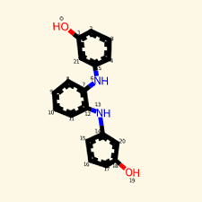 Oc1cccc(Nc2ccccc2Nc2cccc(O)c2)c1